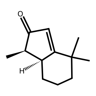 C[C@H]1C(=O)C=C2[C@H]1CCCC2(C)C